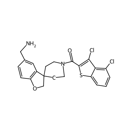 NCc1ccc2c(c1)C1(CCN(C(=O)c3sc4cccc(Cl)c4c3Cl)CC1)CO2